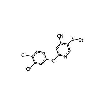 CCSc1cnc(Oc2ccc(Cl)c(Cl)c2)cc1C#N